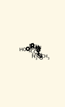 Cc1c(C(=O)N=S(C)(C)=O)cn2ncnc(Nc3cccnc3O[C@H]3CC[C@H](O)CC3)c12